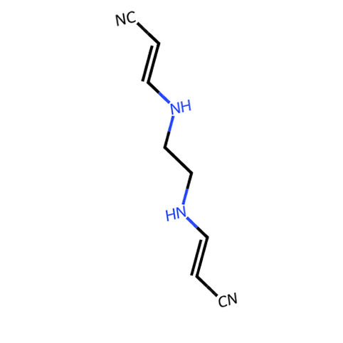 N#CC=CNCCNC=CC#N